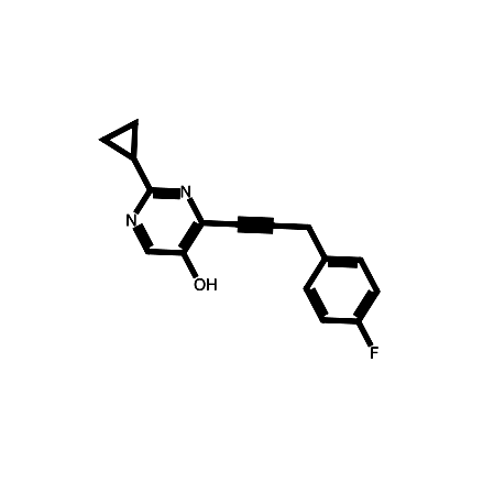 Oc1cnc(C2CC2)nc1C#CCc1ccc(F)cc1